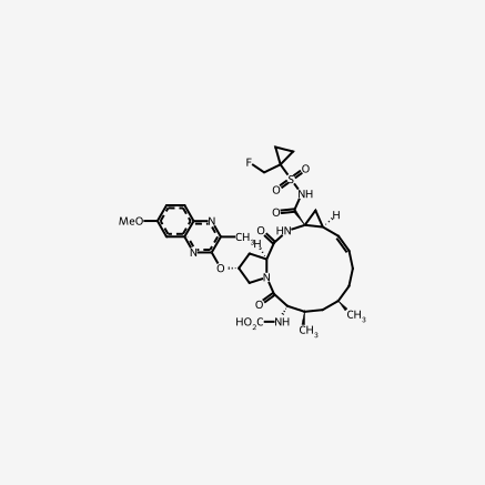 COc1ccc2nc(C)c(O[C@@H]3C[C@H]4C(=O)N[C@]5(C(=O)NS(=O)(=O)C6(CF)CC6)C[C@H]5C=CCC[C@@H](C)C[C@@H](C)[C@H](NC(=O)O)C(=O)N4C3)nc2c1